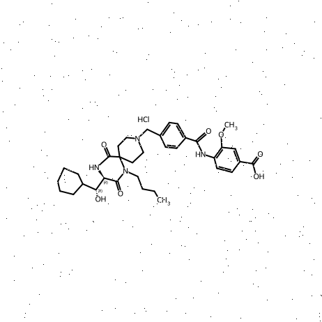 CCCCN1C(=O)[C@@H]([C@H](O)C2CCCCC2)NC(=O)C12CCN(Cc1ccc(C(=O)Nc3ccc(C(=O)O)cc3OC)cc1)CC2.Cl